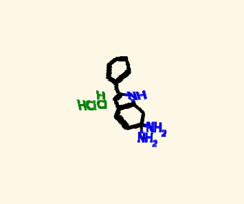 Cl.Cl.NC1(N)C=Cc2cc(-c3ccccc3)[nH]c2C1